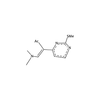 CSc1nccc(C(=CN(C)C)C(C)=O)n1